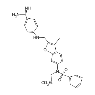 CCOC(=O)CN(c1ccc2c(C)c(CNc3ccc(C(=N)N)cc3)oc2c1)S(=O)(=O)c1ccccc1